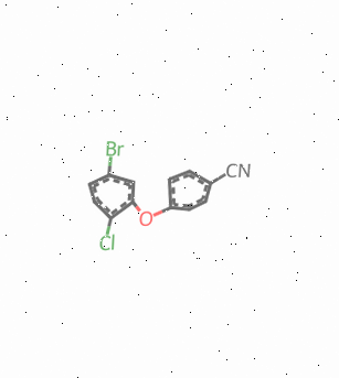 N#Cc1ccc(Oc2cc(Br)ccc2Cl)cc1